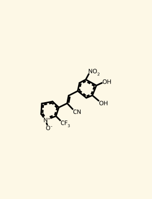 N#C/C(=C\c1cc(O)c(O)c([N+](=O)[O-])c1)c1ccc[n+]([O-])c1C(F)(F)F